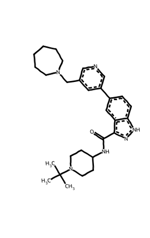 CC(C)(C)N1CCC(NC(=O)c2n[nH]c3ccc(-c4cncc(CN5CCCCCC5)c4)cc23)CC1